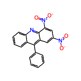 O=[N+]([O-])c1cc([N+](=O)[O-])c2nc3ccccc3c(-c3ccccc3)c2c1